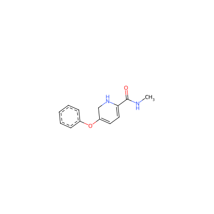 CNC(=O)C1=CC=C(Oc2ccccc2)CN1